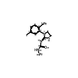 Cc1ccc(C(C)C)c(N2CCS/C2=N\C(=O)NC(C)C)c1